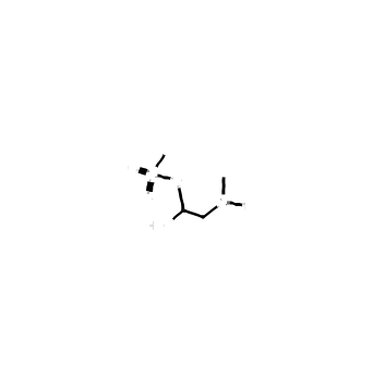 CCN(C)CC([C]=O)OS(C)(=O)=O